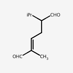 CC(C=O)=CCC(C=O)C(C)C